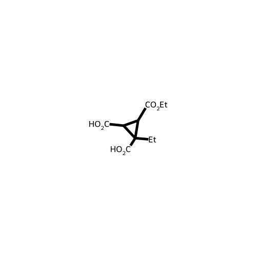 CCOC(=O)C1C(C(=O)O)C1(CC)C(=O)O